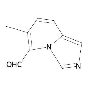 Cc1ccc2cncn2c1C=O